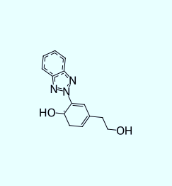 OCCC1=CC[C](O)C(n2nc3ccccc3n2)=C1